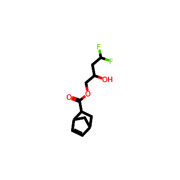 O=C(OCC(O)CC(F)F)C1CC2C=CC1C2